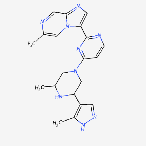 Cc1[nH]ncc1C1CN(c2ccnc(-c3cnc4cnc(C(F)(F)F)cn34)n2)CC(C)N1